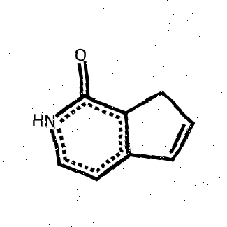 O=c1[nH]ccc2c1CC=C2